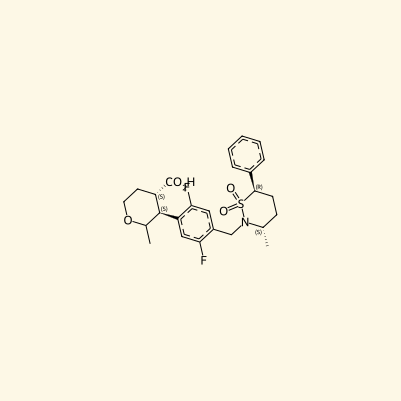 CC1OCC[C@H](C(=O)O)[C@H]1c1cc(F)c(CN2[C@@H](C)CC[C@H](c3ccccc3)S2(=O)=O)cc1F